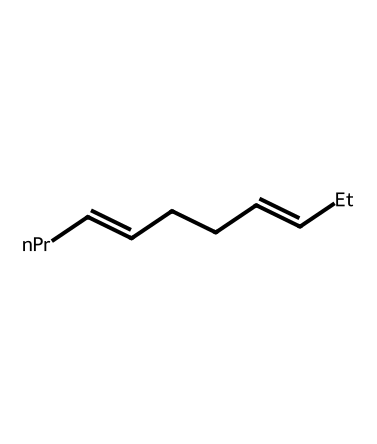 CC/C=C/CC/C=C/CCC